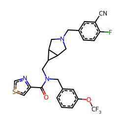 N#Cc1cc(CN2CC3C(C2)C3CN(Cc2cccc(OC(F)(F)F)c2)C(=O)c2cscn2)ccc1F